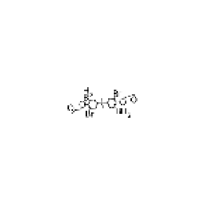 Bc1cc(C(C)(C)c2cc(B)c(OCC3CO3)c(Br)c2)cc(Br)c1OCC1CO1